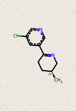 C[C@H]1CCC(c2cncc(Cl)c2)=NC1